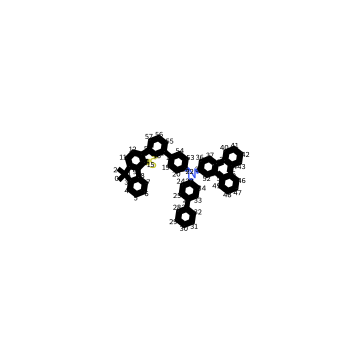 CC1(C)c2ccccc2-c2c1ccc1c2sc2c(-c3ccc(N(c4ccc(-c5ccccc5)cc4)c4ccc5c6ccccc6c6ccccc6c5c4)cc3)cccc21